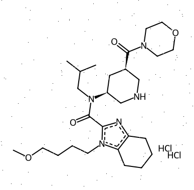 COCCCCn1c(C(=O)N(CC(C)C)[C@@H]2CNC[C@H](C(=O)N3CCOCC3)C2)nc2c1CCCC2.Cl.Cl